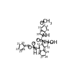 COc1ccc2[nH]c(C(=O)Nc3cc(NC(=O)OCc4ccccc4)c4ccccc4c3CCO)cc2c1